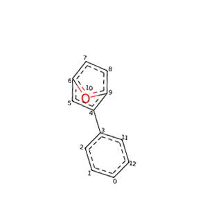 c1ccc(-c2cc3ccc2o3)cc1